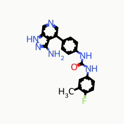 Cc1cc(NC(=O)Nc2ccc(-c3cncc4[nH]nc(N)c34)cc2)ccc1F